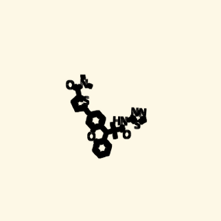 CN(C)C(=O)c1ccc(-c2ccc3c(c2)Oc2ccccc2C3C(C)(C)C(=O)Nc2nncs2)s1